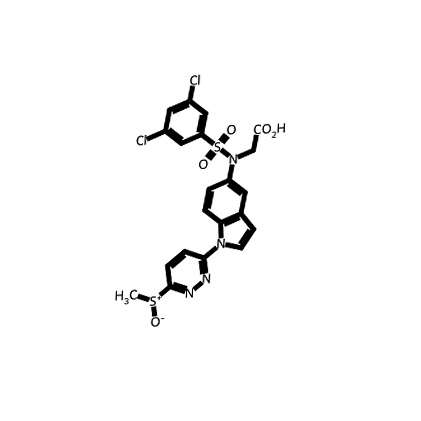 C[S+]([O-])c1ccc(-n2ccc3cc(N(CC(=O)O)S(=O)(=O)c4cc(Cl)cc(Cl)c4)ccc32)nn1